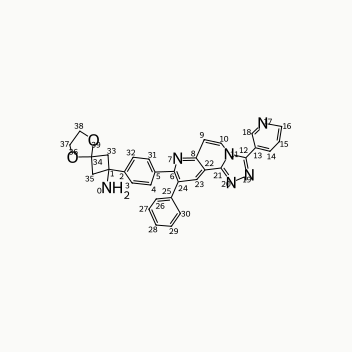 NC1(c2ccc(-c3nc4ccn5c(-c6cccnc6)nnc5c4cc3-c3ccccc3)cc2)CC2(C1)OCCO2